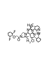 Cc1ccnc(C(C)C)c1-n1c(=O)nc(N2CCN(C(=O)COc3c(F)cccc3F)C[C@@H]2C)c2cc(Cl)c(-c3ccccc3F)nc21